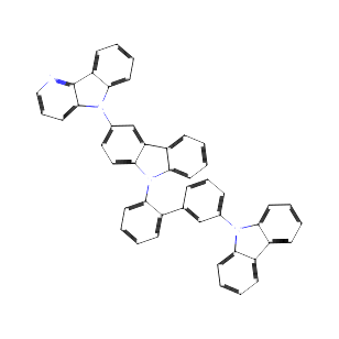 c1cc(-c2ccccc2-n2c3ccccc3c3cc(-n4c5ccccc5c5ncccc54)ccc32)cc(-n2c3ccccc3c3ccccc32)c1